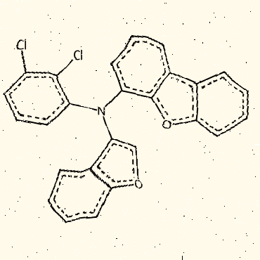 Clc1cccc(N(c2coc3ccccc23)c2cccc3c2oc2ccccc23)c1Cl